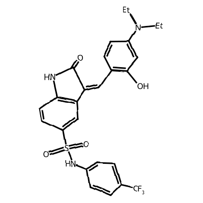 CCN(CC)c1ccc(C=C2C(=O)Nc3ccc(S(=O)(=O)Nc4ccc(C(F)(F)F)cc4)cc32)c(O)c1